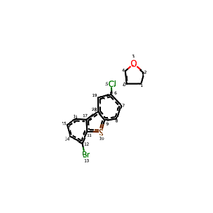 C1CCOC1.Clc1ccc2sc3c(Br)cccc3c2c1